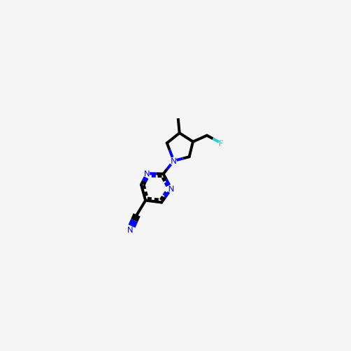 CC1CN(c2ncc(C#N)cn2)CC1CF